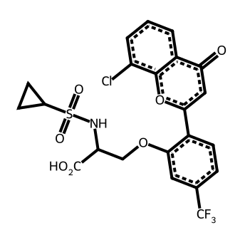 O=C(O)C(COc1cc(C(F)(F)F)ccc1-c1cc(=O)c2cccc(Cl)c2o1)NS(=O)(=O)C1CC1